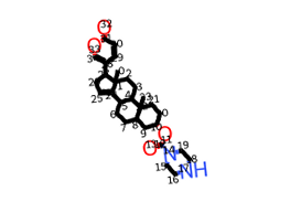 CC12CCC3C(CCC4CC(OC(=O)N5CCNCC5)CCC43C)C1=CCC2c1ccc(=O)oc1